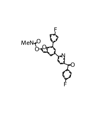 CNC(=O)Oc1cc2cc(-c3ccc(C(=O)c4ccc(F)cc4)cn3)cc(-c3ccc(F)cc3)c2o1